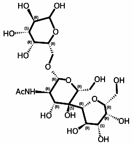 CC(=O)N[C@H]1[C@H](OC[C@H]2OC(O)[C@H](O)[C@@H](O)[C@H]2O)O[C@H](CO)[C@](O)([C@@H]2O[C@H](CO)[C@H](O)[C@H](O)[C@H]2O)[C@@H]1O